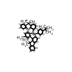 Cc1cc2c3c(c1)N1c4ccccc4C(C)(C)c4cccc(c41)B3N(c1ccc(C(C)(C)C)cc1)c1ccc3c(c1-2)C(C)(C)c1ccccc1-3